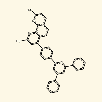 Cc1ccc2ccc3c(-c4ccc(-c5cc(-c6ccccc6)cc(-c6ccccc6)n5)cc4)cc(C)nc3c2n1